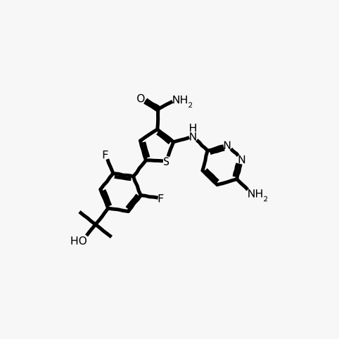 CC(C)(O)c1cc(F)c(-c2cc(C(N)=O)c(Nc3ccc(N)nn3)s2)c(F)c1